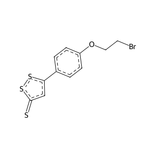 S=c1cc(-c2ccc(OCCBr)cc2)ss1